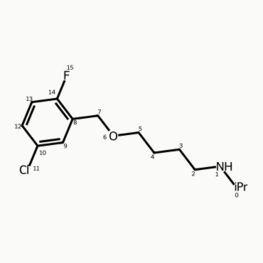 CC(C)NCCCCOCc1cc(Cl)ccc1F